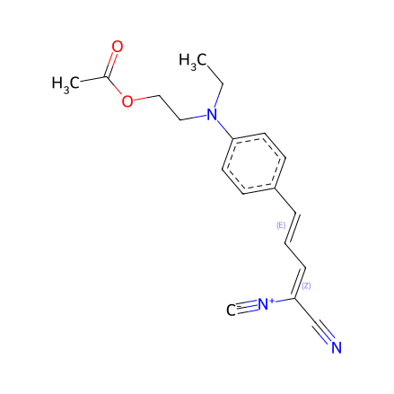 [C-]#[N+]/C(C#N)=C\C=C\c1ccc(N(CC)CCOC(C)=O)cc1